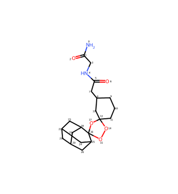 NC(=O)CNC(=O)CC1CCCC2(C1)OOC1(O2)C2CC3CC(C2)CC1C3